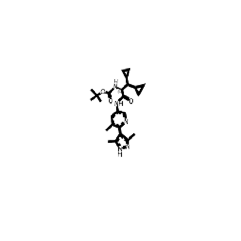 Cc1cc(NC(=O)[C@@H](NC(=O)OC(C)(C)C)C(C2CC2)C2CC2)cnc1-c1c(C)n[nH]c1C